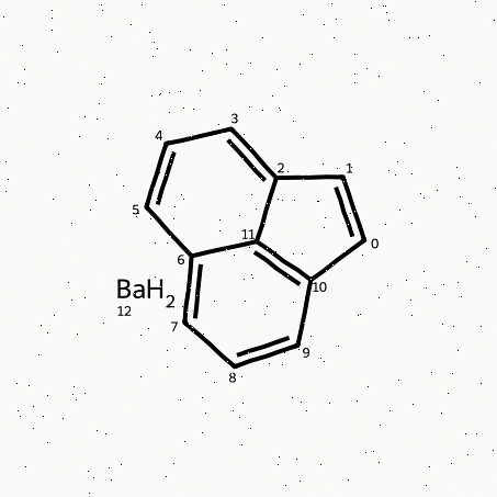 C1=Cc2cccc3cccc1c23.[BaH2]